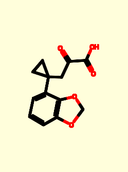 O=C(O)C(=O)CC1(c2cccc3c2OCO3)CC1